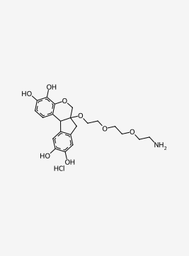 Cl.NCCOCCOCCOC12COc3c(ccc(O)c3O)C1c1cc(O)c(O)cc1C2